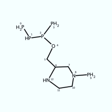 PPP(P)OCC1CN(P)CCN1